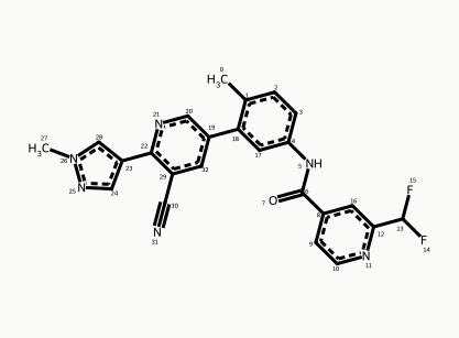 Cc1ccc(NC(=O)c2ccnc(C(F)F)c2)cc1-c1cnc(-c2cnn(C)c2)c(C#N)c1